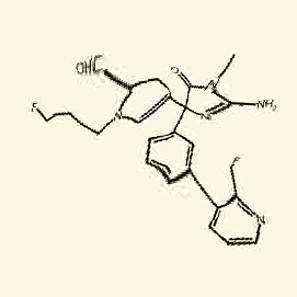 CN1C(=O)C(C2=CN(CCCF)C(C=O)C2)(c2cccc(-c3cccnc3F)c2)N=C1N